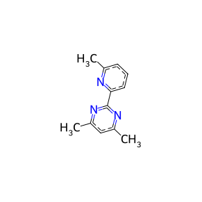 Cc1cccc(-c2nc(C)cc(C)n2)n1